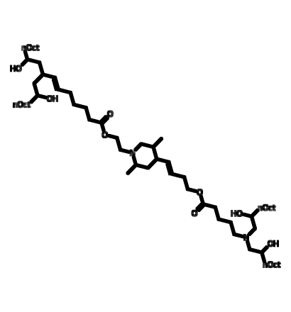 CCCCCCCCC(O)CC(/C=C/CCCCC(=O)OCCN1CC(C)C(/C=C/CCOC(=O)CCCCN(CC(O)CCCCCCCC)CC(O)CCCCCCCC)CC1C)CC(O)CCCCCCCC